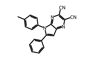 Cc1ccc(-n2c(-c3ccccc3)cc3nc(C#N)c(C#N)nc32)cc1